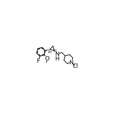 COc1c(F)cccc1[C@H]1C[C@@H]1NCC1CCN(Cl)CC1